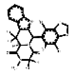 [2H]c1c([2H])c(C2c3[nH]c4ccccc4c3C([2H])([2H])[C@@H]3C(=O)N(C)C([2H])([2H])C(=O)N23)c([2H])c2c1OCO2